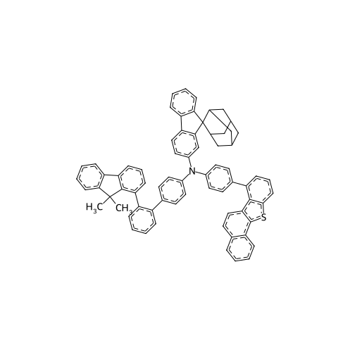 CC1(C)c2ccccc2-c2cccc(-c3ccccc3-c3ccc(N(c4ccc(-c5cccc6sc7c8ccccc8ccc7c56)cc4)c4ccc5c(c4)C4(c6ccccc6-5)C5CC6CC(C5)CC4C6)cc3)c21